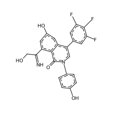 N=C(CO)c1cc(O)cc2c(-c3cc(F)c(F)c(F)c3)cn(-c3ccc(O)cc3)c(=O)c12